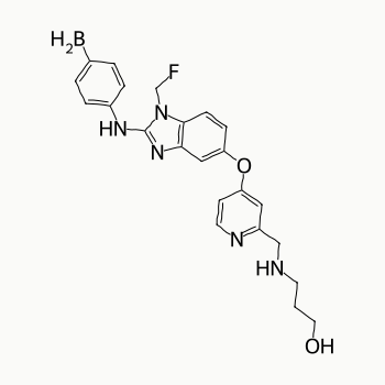 Bc1ccc(Nc2nc3cc(Oc4ccnc(CNCCCO)c4)ccc3n2CF)cc1